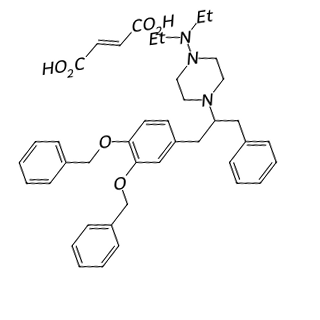 CCN(CC)N1CCN(C(Cc2ccccc2)Cc2ccc(OCc3ccccc3)c(OCc3ccccc3)c2)CC1.O=C(O)C=CC(=O)O